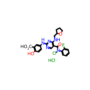 Cl.O=C(O)c1cc(Nc2ncc(C(=O)N(Cl)c3ccccc3F)c(NCC3CCCO3)n2)ccc1O